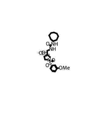 COc1cccc(S(=O)(=O)N2CCC(CNC(=O)N[C]3CCCCCCC3)C2)c1.[CH2].[CH2]